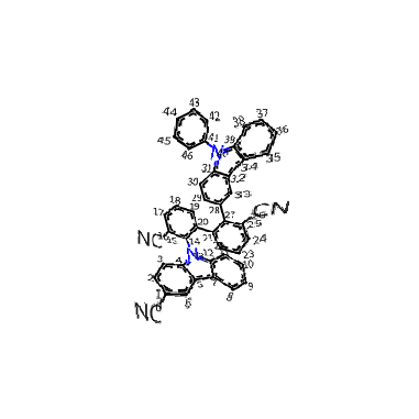 N#Cc1ccc2c(c1)c1ccccc1n2-c1c(C#N)cccc1-c1cccc(C#N)c1-c1ccc2c(c1)c1ccccc1n2-c1ccccc1